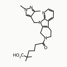 Cc1nn(C)cc1Cn1c2c(c3cccnc31)CCN(C(=O)CCCC(C)(C)C(=O)O)C2